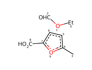 CCOC=O.Cc1ccc(C(=O)O)o1